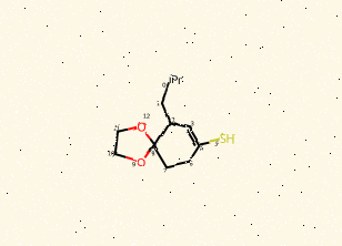 CC(C)CC1C=C(S)CCC12OCCO2